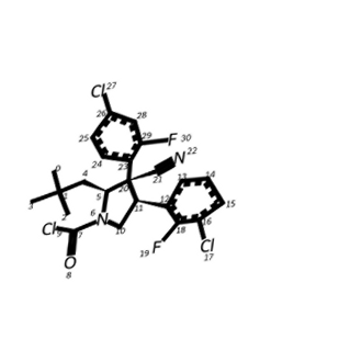 CC(C)(C)C[C@@H]1N(C(=O)Cl)C[C@H](c2cccc(Cl)c2F)[C@@]1(C#N)c1ccc(Cl)cc1F